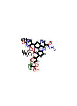 COC(=O)c1cc(Nc2c(C(N)=O)cnc3cc(-c4cnc(OC)nc4OC)ccc23)ccc1-c1ccoc1.O=C(O)C(F)(F)F